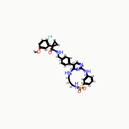 COc1ccc(F)c(C2(C(=O)NCc3ccc(-c4cnc5nc4NCCCNS(=O)(=O)c4cccc(c4)N5)cc3)CC2)c1